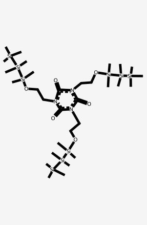 C[Si](C)(C)[Si](C)(C)[Si](C)(C)OCCn1c(=O)n(CCO[Si](C)(C)[Si](C)(C)[Si](C)(C)C)c(=O)n(CCO[Si](C)(C)[Si](C)(C)[Si](C)(C)C)c1=O